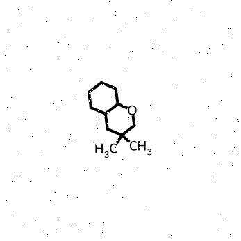 CC1(C)COC2CCCCC2C1